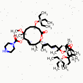 CCC(O[Si](CC)(CC)CC)C(C)[C@@H]1O[C@H]1CC(C)(/C=C/C=C(\C)[C@H]1OC(=O)C[C@H](O[Si](CC)(CC)CC)CC[C@@](C)(OC)[C@@H](OC(=O)N2CCNCC2)/C=C/[C@@H]1C)O[Si](CC)(CC)CC